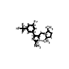 CC1CCC(C)N1Cc1sc(N)nc1-c1cc(F)cc(C(F)(F)F)c1